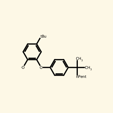 CCCCCC(C)(C)c1ccc(Oc2cc(C(C)(C)C)ccc2[O])cc1